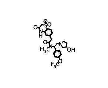 CN(C(=O)Cc1ccc2c(c1)NC(=O)CS2(=O)=O)[C@@H](CN1CC[C@@H](O)C1)c1ccc(OC(F)(F)F)cc1